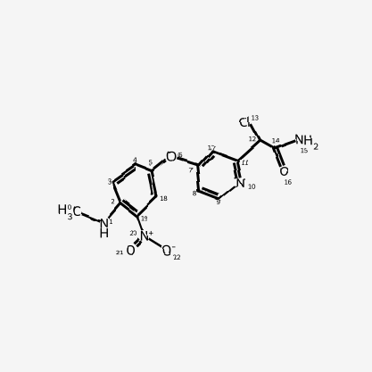 CNc1ccc(Oc2ccnc(C(Cl)C(N)=O)c2)cc1[N+](=O)[O-]